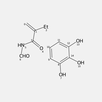 C=C(CC)C(=O)NC=O.Oc1cccc(O)c1O